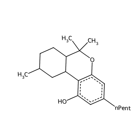 CCCCCc1cc(O)c2c(c1)OC(C)(C)C1CCC(C)CC21